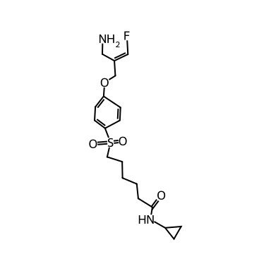 NC/C(=C\F)COc1ccc(S(=O)(=O)CCCCCC(=O)NC2CC2)cc1